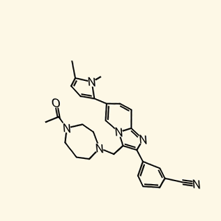 CC(=O)N1CCCN(Cc2c(-c3cccc(C#N)c3)nc3ccc(-c4ccc(C)n4C)cn23)CC1